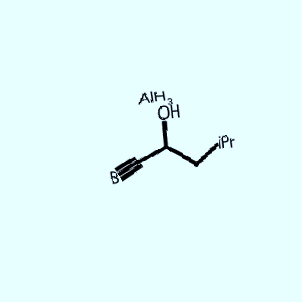 B#CC(O)CC(C)C.[AlH3]